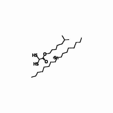 CC(C)CCCCCOC(=O)C(S)S.CCCCCCC[CH2][Sn][CH2]CCCCCCC